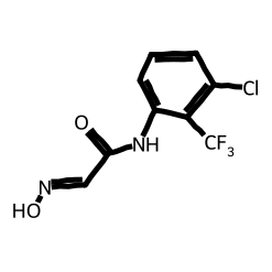 O=C(/C=N/O)Nc1cccc(Cl)c1C(F)(F)F